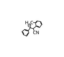 Cc1ccccc1C(C#N)C(=O)c1ccccc1